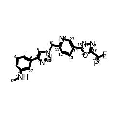 CNc1cccc(-c2cn(Cc3ccc(-c4nnc(C(F)F)o4)cn3)nn2)c1